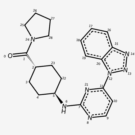 O=C([C@H]1CC[C@H](Nc2nccc(-n3nnc4ccccc43)n2)CC1)N1CCCC1